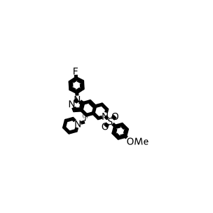 COc1ccc(S(=O)(=O)N2CCC3=Cc4c(cnn4-c4ccc(F)cc4)[C@@H](CN4CCCCC4)C3C2)cc1